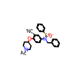 CC(=O)N1CCC(Oc2ccc(N(Cc3ccccc3)[S+]([O-])c3ccccc3)cc2C#N)CC1